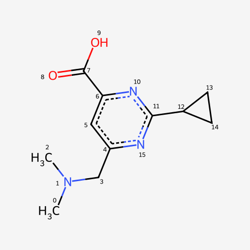 CN(C)Cc1cc(C(=O)O)nc(C2CC2)n1